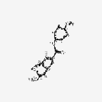 CCCc1ccc(OC(=O)c2cc3cc(CCC)sc3s2)cc1